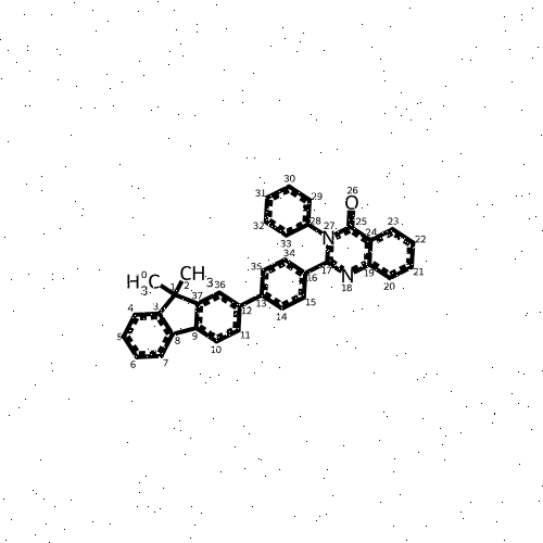 CC1(C)c2ccccc2-c2ccc(-c3ccc(-c4nc5ccccc5c(=O)n4-c4ccccc4)cc3)cc21